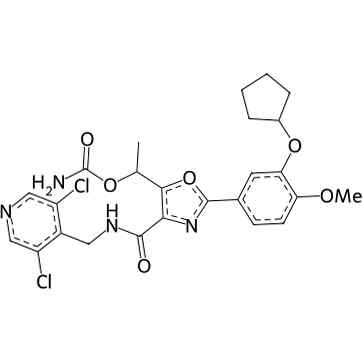 COc1ccc(-c2nc(C(=O)NCc3c(Cl)cncc3Cl)c(C(C)OC(N)=O)o2)cc1OC1CCCC1